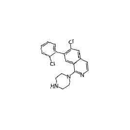 Clc1ccccc1-c1cc2c(N3CCNCC3)nccc2cc1Cl